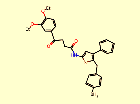 Bc1ccc(Cc2sc(NC(=O)CCC(=O)c3ccc(OCC)c(OCC)c3)cc2-c2ccccc2)cc1